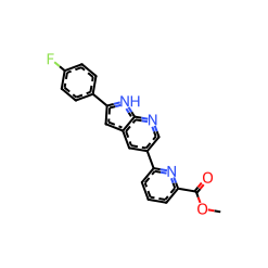 COC(=O)c1cccc(-c2cnc3[nH]c(-c4ccc(F)cc4)cc3c2)n1